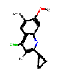 CCOc1cc2nc(C3CC3)c(C#N)c(Cl)c2cc1NC(C)=O